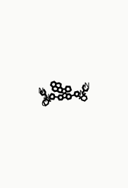 CC12CCCCC1(C)N(c1ccncc1)c1ccc(-c3ccc4c(c3)C3(c5cc(-c6ccc7c(c6)C6(C)CCCC[C@]6(C)N7c6ccncc6)ccc5-4)c4ccccc4-c4c3cc3ccc5cccc6ccc4c3c56)cc12